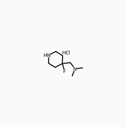 CN(C)CC1(F)CCNCC1.Cl